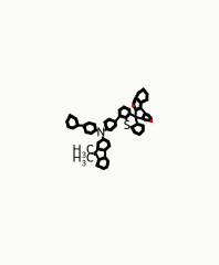 CC1(C)c2ccccc2-c2ccc(N(c3ccc(-c4ccccc4)cc3)c3ccc(-c4cccc5c4Sc4ccccc4C54c5ccccc5-c5c4ccc4ccccc54)cc3)cc21